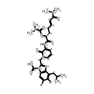 CC(C)Cc1c(F)c(F)cc2c1nc(Cn1cccc(NC(=O)[C@H](CC/C=C/C(=O)N(C)C)OC(=O)N(C)C)c1=O)n2C(=O)O